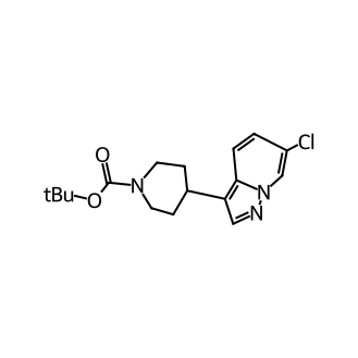 CC(C)(C)OC(=O)N1CCC(c2cnn3cc(Cl)ccc23)CC1